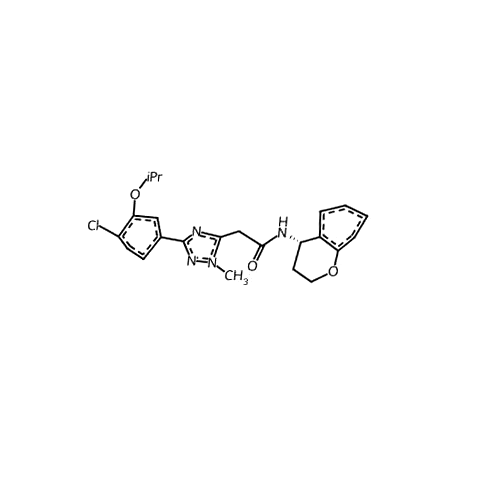 CC(C)Oc1cc(-c2nc(CC(=O)N[C@H]3CCOc4ccccc43)n(C)n2)ccc1Cl